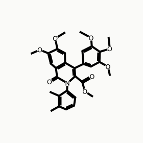 COC(=O)c1c(-c2cc(OC)c(OC)c(OC)c2)c2cc(OC)c(OC)cc2c(=O)n1-c1cccc(C)c1C